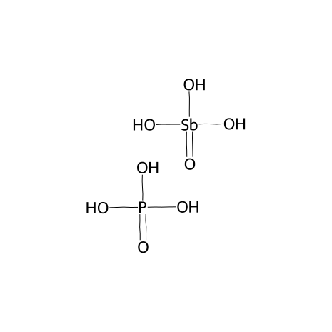 O=P(O)(O)O.[O]=[Sb]([OH])([OH])[OH]